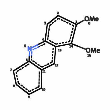 COc1ccc2nc3ccccc3cc2c1OC